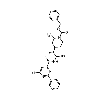 CC(C)C(NC(=O)c1cc(Cl)nc(-c2ccccc2)n1)C(=O)N1CCN(C(=O)OCc2ccccc2)C(C)C1